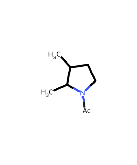 CC(=O)N1CCC(C)C1C